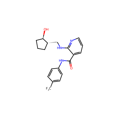 O=C(Nc1ccc(C(F)(F)F)cc1)c1cccnc1NC[C@@H]1CCC[C@H]1O